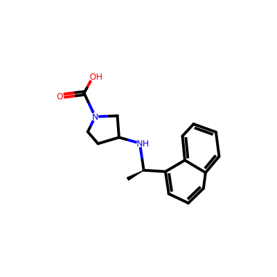 C[C@@H](NC1CCN(C(=O)O)C1)c1cccc2ccccc12